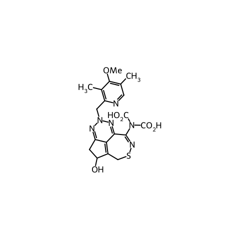 COc1c(C)cnc(CN2N=C3CC(O)C4=C3C(=N2)C(N(C(=O)O)C(=O)O)=NSC4)c1C